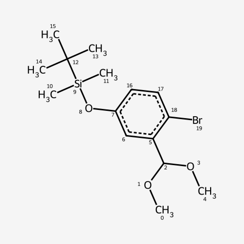 COC(OC)c1cc(O[Si](C)(C)C(C)(C)C)ccc1Br